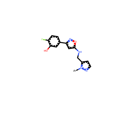 CC(C)n1nccc1CNc1cc(-c2ccc(F)c(O)c2)no1